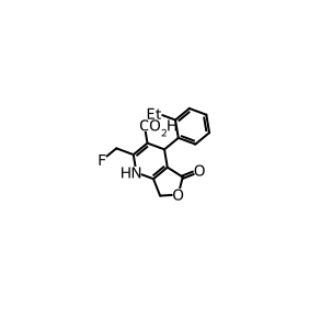 CCc1ccccc1C1C(C(=O)O)=C(CF)NC2=C1C(=O)OC2